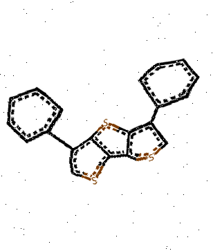 c1ccc(-c2csc3c2sc2c(-c4ccccc4)csc23)cc1